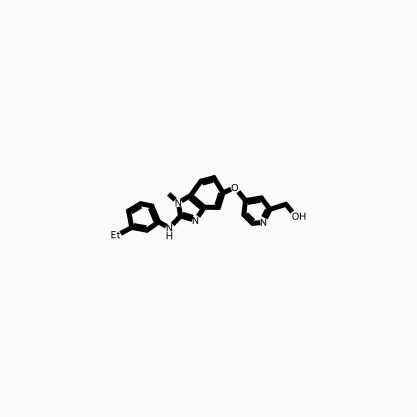 CCc1cccc(Nc2nc3cc(Oc4ccnc(CO)c4)ccc3n2C)c1